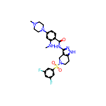 CNc1cc(N2CCN(C)CC2)ccc1C(=O)Nc1n[nH]c2c1CN(S(=O)(=O)c1cc(F)cc(F)c1)CC2